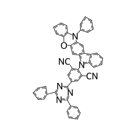 N#Cc1cc(-c2nc(-c3ccccc3)nc(-c3ccccc3)n2)cc(C#N)c1-n1c2ccccc2c2cc3c(cc21)Oc1ccccc1N3c1ccccc1